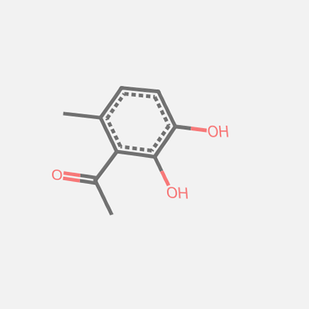 CC(=O)c1c(C)ccc(O)c1O